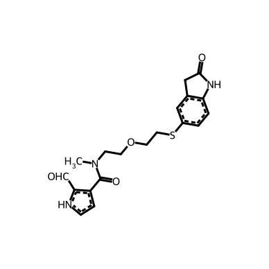 CN(CCOCCSc1ccc2c(c1)CC(=O)N2)C(=O)c1cc[nH]c1C=O